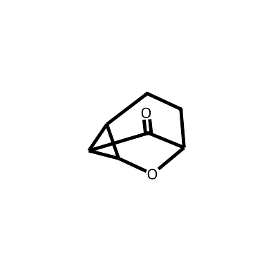 O=C1C2CCC3C(O2)C13